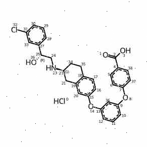 Cl.O=C(O)c1ccc(Oc2cccc(Oc3ccc4c(c3)C[C@@H](NC[C@H](O)c3cccc(Cl)c3)CC4)c2)cc1